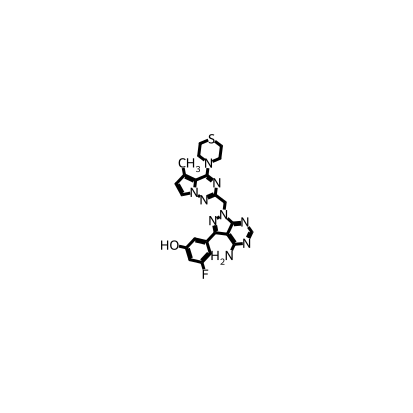 Cc1ccn2nc(Cn3nc(-c4cc(O)cc(F)c4)c4c(N)ncnc43)nc(N3CCSCC3)c12